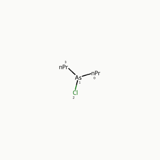 CCC[As](Cl)CCC